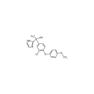 COc1ccc(Oc2ccc(C(C)(O)c3ncc[nH]3)cc2Cl)cc1